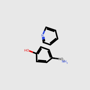 N.O=[N+]([O-])c1ccc(O)cc1.c1ccncc1